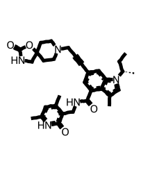 CC[C@H](C)n1cc(C)c2c(C(=O)NCc3c(C)cc(C)[nH]c3=O)cc(C#CCN3CCC4(CC3)CNC(=O)O4)cc21